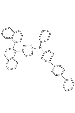 c1ccc(-c2ccc(-c3ccc(N(c4ccccc4)c4ccc(-c5c(-c6cccc7ccccc67)ccc6ccccc56)cc4)cc3)cc2)cc1